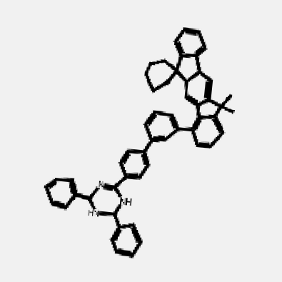 CC1(C)C2=CC3c4ccccc4C4(CCCCC4)C3C=C2c2c(-c3cccc(-c4ccc(C5=NC(c6ccccc6)NC(c6ccccc6)N5)cc4)c3)cccc21